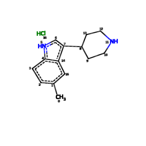 Cc1ccc2[nH]cc(C3CCNCC3)c2c1.Cl